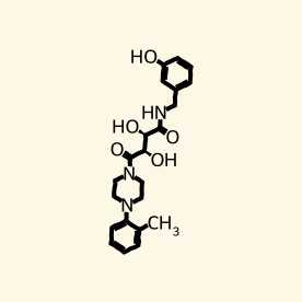 Cc1ccccc1N1CCN(C(=O)[C@H](O)[C@@H](O)C(=O)NCc2cccc(O)c2)CC1